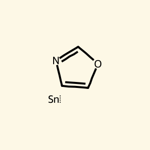 [Sn].c1cocn1